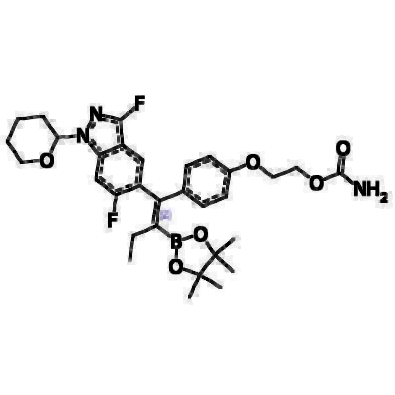 CC/C(B1OC(C)(C)C(C)(C)O1)=C(/c1ccc(OCCOC(N)=O)cc1)c1cc2c(F)nn(C3CCCCO3)c2cc1F